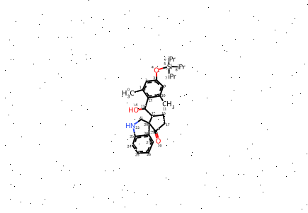 Cc1cc(O[Si](C(C)C)(C(C)C)C(C)C)cc(C)c1C(O)C1CCC(=O)C12CNc1ccccc12